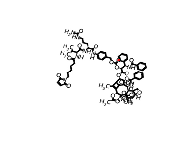 CC(=O)O[C@@H]1C(=O)[C@@]2(C)[C@H](O)C[C@@H]3OC[C@]3(OC(C)=O)[C@@H]2[C@@H](OC(=O)c2ccccc2)[C@@]2(O)C[C@@H](OC(=O)[C@@H](OC(=O)OCc3ccc(NC(=O)[C@H](CCCNC(N)=O)NC(=O)[C@@H](NC(=O)CCCCCN4C(=O)C=CC4=O)C(C)C)cc3)[C@H](NC(=O)c3ccccc3)c3ccccc3)C3C(C)=C1C32C